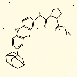 COC(=O)[C@@H]1CCCN1C(=O)Nc1ccc(Nc2ccc(C34CC5CC(CC(C5)C3)C4)cc2Cl)cc1